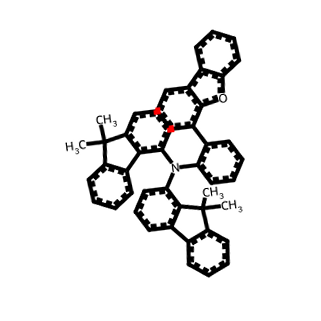 CC1(C)c2ccccc2-c2c(N(c3ccccc3-c3cccc4c3oc3ccccc34)c3cccc4c3C(C)(C)c3ccccc3-4)cccc21